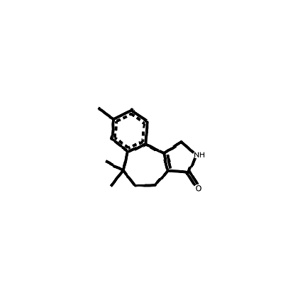 Cc1ccc2c(c1)C(C)(C)CCC1=C2CNC1=O